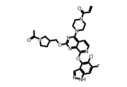 C=CC(=O)N1CCN(c2nc(OCC3CCN(C(C)=O)C3)nc3c(Oc4c(Cl)c(F)cc5[nH]ncc45)nccc23)CC1